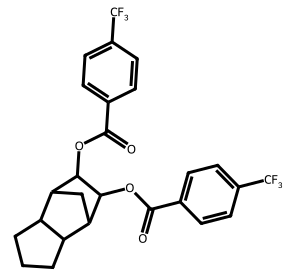 O=C(OC1C2CC(C3CCCC32)C1OC(=O)c1ccc(C(F)(F)F)cc1)c1ccc(C(F)(F)F)cc1